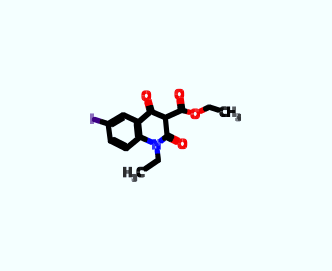 CCOC(=O)C1C(=O)c2cc(I)ccc2N(CC)C1=O